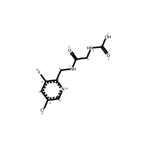 O=C(O)NCC(=O)NCc1ncc(Cl)cc1F